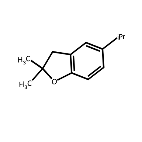 CC(C)c1ccc2c(c1)CC(C)(C)O2